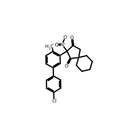 Cc1ccc(-c2ccc(Cl)cc2)cc1C1([N+](=O)[O-])C(=O)CC2(CCCCC2)C1=O